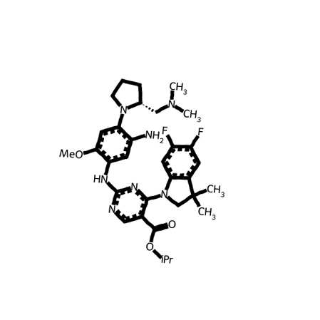 COc1cc(N2CCC[C@@H]2CN(C)C)c(N)cc1Nc1ncc(C(=O)OC(C)C)c(N2CC(C)(C)c3cc(F)c(F)cc32)n1